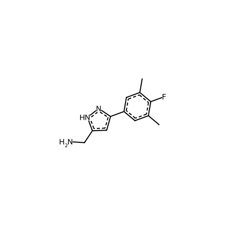 Cc1cc(-c2cc(CN)[nH]n2)cc(C)c1F